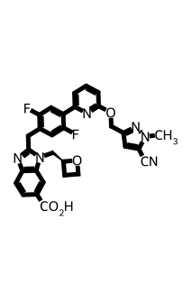 Cn1nc(COc2cccc(-c3cc(F)c(Cc4nc5ccc(C(=O)O)cc5n4C[C@@H]4CCO4)cc3F)n2)cc1C#N